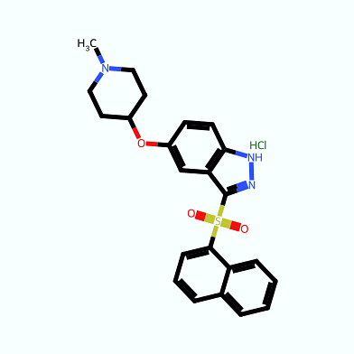 CN1CCC(Oc2ccc3[nH]nc(S(=O)(=O)c4cccc5ccccc45)c3c2)CC1.Cl